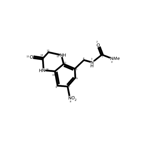 CNC(=O)NCc1cc([N+](=O)[O-])cc2c1NCC(=O)N2